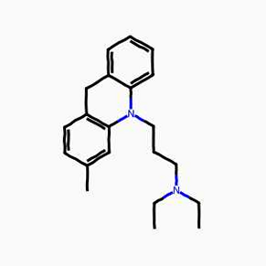 CCN(CC)CCCN1c2ccccc2Cc2ccc(C)cc21